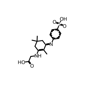 CC1=C(NCC(=O)O)CC(C)(C)CC1=Nc1ccc(S(=O)(=O)O)cc1